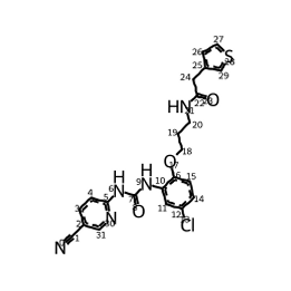 N#Cc1ccc(NC(=O)Nc2cc(Cl)ccc2OCCCNC(=O)Cc2ccsc2)nc1